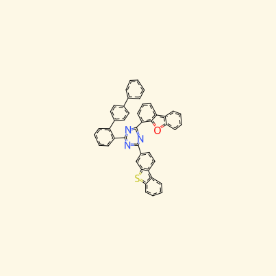 c1ccc(-c2ccc(-c3ccccc3-c3nc(-c4ccc5c(c4)sc4ccccc45)nc(-c4cccc5c4oc4ccccc45)n3)cc2)cc1